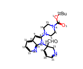 CC(C)(C)OC(=O)N1CCN(c2cc3cccnc3n2C2(C=O)C=CC=NC2)CC1